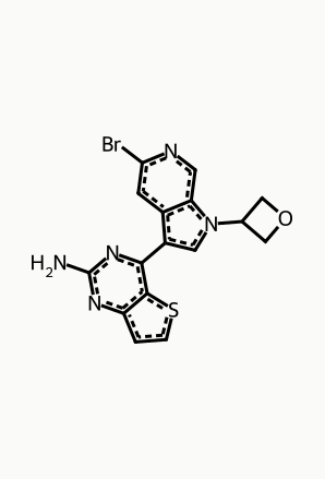 Nc1nc(-c2cn(C3COC3)c3cnc(Br)cc23)c2sccc2n1